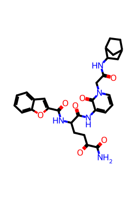 NC(=O)C(=O)CCC(NC(=O)c1cc2ccccc2o1)C(=O)Nc1cccn(CC(=O)NC2CC3CCC2C3)c1=O